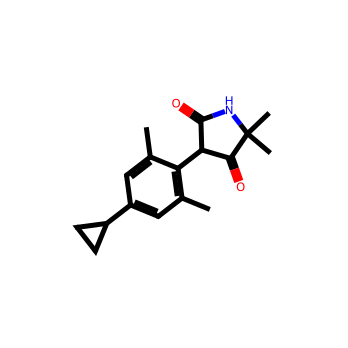 Cc1cc(C2CC2)cc(C)c1C1C(=O)NC(C)(C)C1=O